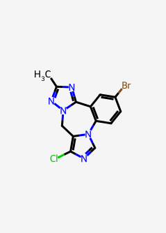 Cc1nc2n(n1)Cc1c(Cl)ncn1-c1ccc(Br)cc1-2